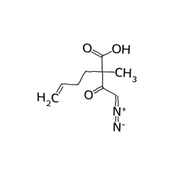 C=CCCC(C)(C(=O)O)C(=O)C=[N+]=[N-]